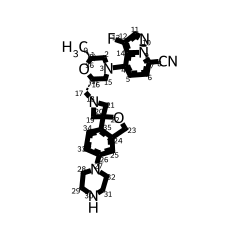 C[C@@H]1CN(c2ccc(C#N)n3ncc(F)c23)C[C@H](CN2CC3(C2)OCc2cc(N4CCNCC4)ccc23)O1